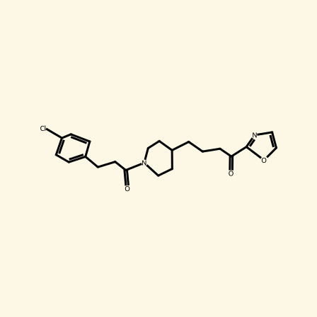 O=C(CCCC1CCN(C(=O)CCc2ccc(Cl)cc2)CC1)c1ncco1